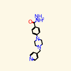 NNC(=O)c1ccc(N2CCN(Cc3ccncc3)CC2)cc1